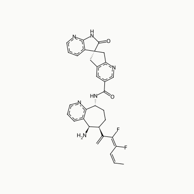 C=C(/C(F)=C(F)\C=C/C)[C@@H]1CC[C@@H](NC(=O)c2cnc3c(c2)C[C@@]2(C3)C(=O)Nc3ncccc32)c2ncccc2[C@@H]1N